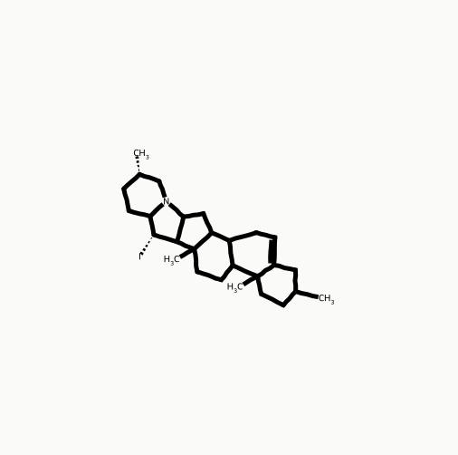 CC1CCC2(C)C(=CCC3C2CCC2(C)C3CC3C2[C@H](I)C2CC[C@H](C)CN32)C1